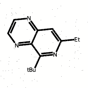 CCc1cc2nccnc2c(C(C)(C)C)n1